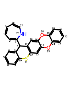 C1=CC=C(C2c3ccccc3Sc3cc4c(cc32)Oc2ccccc2O4)NC=C1